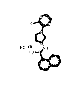 C[C@@H](N[C@@H]1CCN(c2nccnc2Cl)C1)c1cccc2ccccc12.Cl.Cl